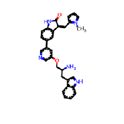 Cn1cccc1C=C1C(=O)Nc2ccc(-c3cncc(OCC(N)Cc4c[nH]c5ccccc45)c3)cc21